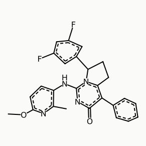 COc1ccc(Nc2nc(=O)c(-c3ccccc3)c3n2C(c2cc(F)cc(F)c2)CC3)c(C)n1